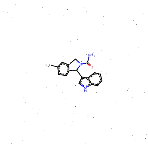 NC(=O)N1Cc2cc(C(F)(F)F)ccc2C1c1c[nH]c2ccccc12